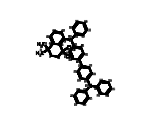 CC1(C)CCC(C)(C)c2c(N(c3ccccc3)c3ccc(-c4ccc(N(c5ccccc5)c5ccccc5)cc4)cc3)cccc21